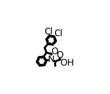 CC(C(=O)O)N1C(=O)C(Cc2ccc(Cl)c(Cl)c2)c2ccccc21